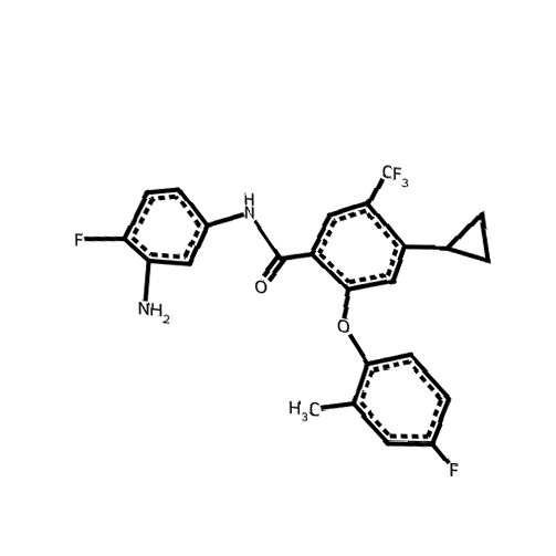 Cc1cc(F)ccc1Oc1cc(C2CC2)c(C(F)(F)F)cc1C(=O)Nc1ccc(F)c(N)c1